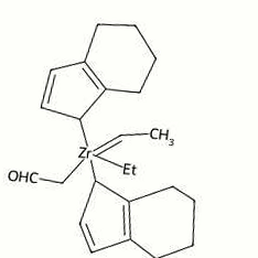 C[CH]=[Zr]([CH2]C)([CH2]C=O)([CH]1C=CC2=C1CCCC2)[CH]1C=CC2=C1CCCC2